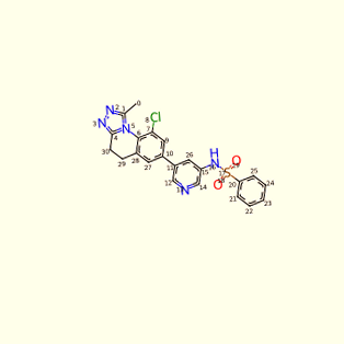 Cc1nnc2n1-c1c(Cl)cc(-c3cncc(NS(=O)(=O)c4ccccc4)c3)cc1CC2